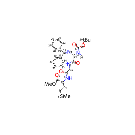 COC(=O)[C@H](CCSC)NC(=O)CN1C(=O)C(N(C)C(=O)OC(C)(C)C)N=C(c2ccccc2)c2ccccc21